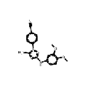 COc1ccc(Nc2nc(N)n(-c3ccc(C#N)cc3)n2)cc1OC